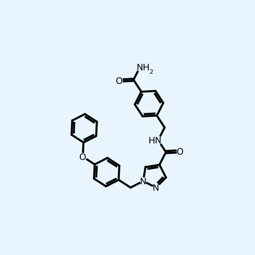 NC(=O)c1ccc(CNC(=O)c2cnn(Cc3ccc(Oc4ccccc4)cc3)c2)cc1